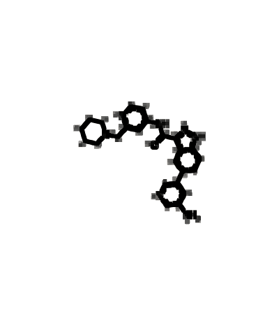 Nc1cncc(-c2ccc3[nH]nc(C(=O)Nc4ccnc(CN5CCCCC5)c4)c3c2)c1